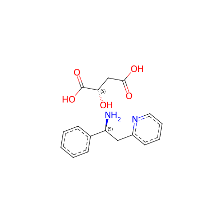 N[C@@H](Cc1ccccn1)c1ccccc1.O=C(O)C[C@H](O)C(=O)O